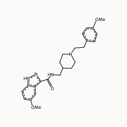 COc1ccc(CCN2CCC(CNC(=O)c3n[nH]c4ccc(OC)cc34)CC2)cc1